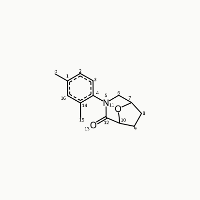 Cc1ccc(N2CC3CCC(O3)C2=O)c(C)c1